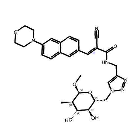 CO[C@H]1O[C@H](Cn2cc(CNC(=O)/C(C#N)=C/c3ccc4cc(N5CCOCC5)ccc4c3)nn2)[C@@H](O)[C@H](O)[C@H]1C